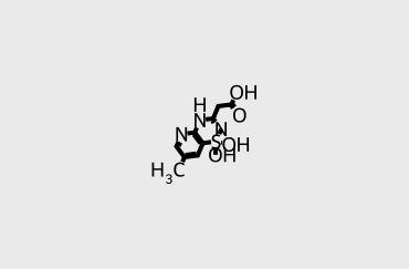 Cc1cnc2c(c1)S(O)(O)N=C(CC(=O)O)N2